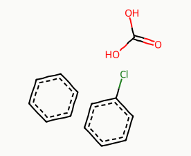 Clc1ccccc1.O=C(O)O.c1ccccc1